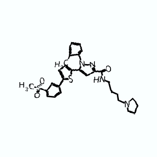 Cc1ccccc1-n1nc(C(=O)NCCCCN2CCCC2)cc1-c1ccc(-c2cccc(S(C)(=O)=O)c2)s1